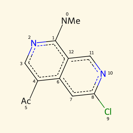 CNc1ncc(C(C)=O)c2cc(Cl)ncc12